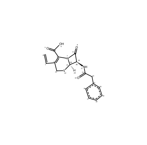 C=CC1=C(C(=O)O)N2C(=O)[C@@H](NC(=O)Cc3ccccc3)[C@H]2SC1